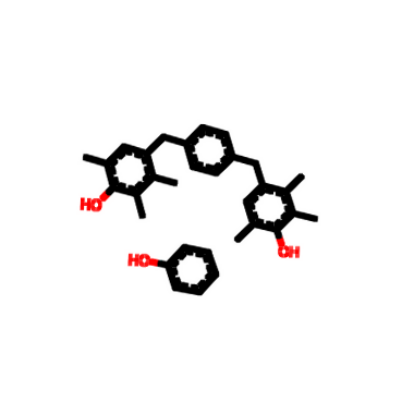 Cc1cc(Cc2ccc(Cc3cc(C)c(O)c(C)c3C)cc2)c(C)c(C)c1O.Oc1ccccc1